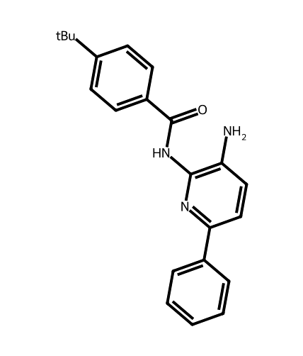 CC(C)(C)c1ccc(C(=O)Nc2nc(-c3ccccc3)ccc2N)cc1